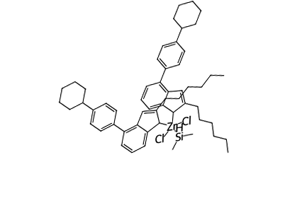 CCCCCCC1=Cc2c(-c3ccc(C4CCCCC4)cc3)cccc2[CH]1[Zr]([Cl])([Cl])([CH]1C(CCCCCC)=Cc2c(-c3ccc(C4CCCCC4)cc3)cccc21)[SiH](C)C